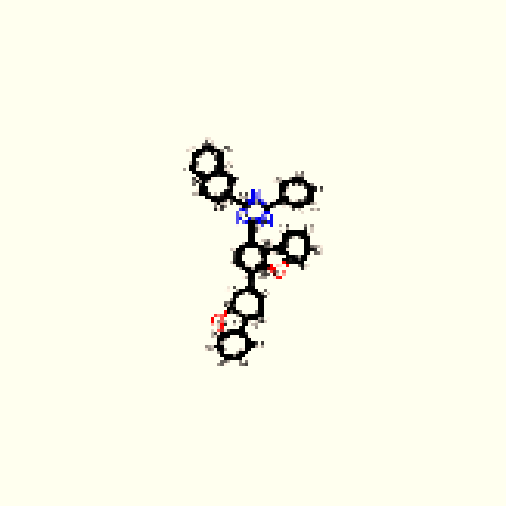 C1=C(c2ccc(-c3nc(-c4ccccc4)nc(-c4ccc5ccccc5c4)n3)c3c2oc2ccccc23)CC2Oc3ccccc3C2=C1